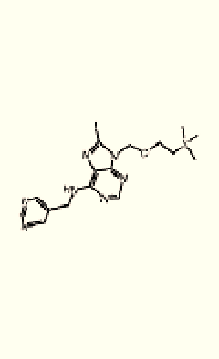 CS(C)(C)CCOCn1c(I)nc2c(NCc3cncnc3)ncnc21